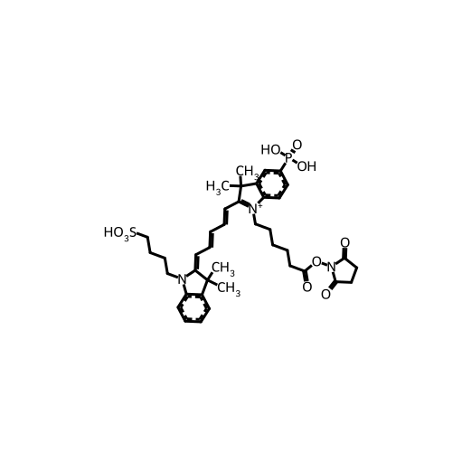 CC1(C)C(/C=C/C=C/C=C2/N(CCCCS(=O)(=O)O)c3ccccc3C2(C)C)=[N+](CCCCCC(=O)ON2C(=O)CCC2=O)c2ccc(P(=O)(O)O)cc21